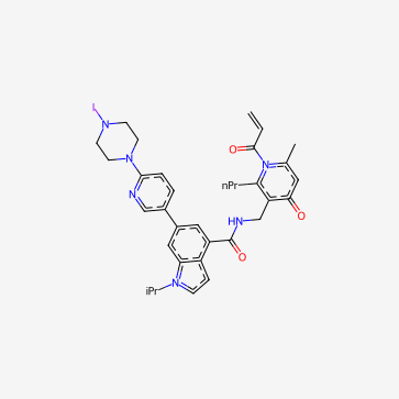 C=CC(=O)n1c(C)cc(=O)c(CNC(=O)c2cc(-c3ccc(N4CCN(I)CC4)nc3)cc3c2ccn3C(C)C)c1CCC